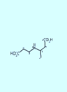 CC(CC(=O)O)NCCC(=O)O